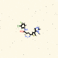 C[C@@H](C[C@@H](N)c1cc(-c2cncn2C)cs1)C(O)Nc1ccc(F)c(Cl)c1